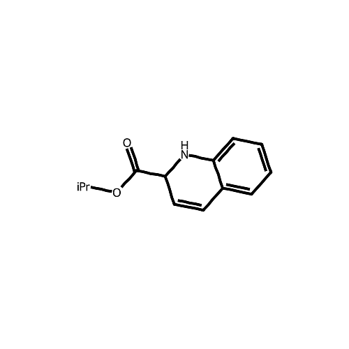 CC(C)OC(=O)C1C=Cc2ccccc2N1